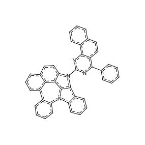 c1ccc(-c2nc(-n3c4ccc5cccc6c7ccccc7n7c8ccccc8c3c7c4c56)nc3c2ccc2ccccc23)cc1